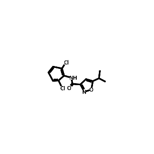 CC(C)c1cc(C(=O)Nc2c(Cl)cccc2Cl)no1